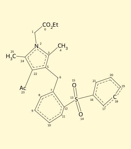 CCOC(=O)Cn1c(C)c(Cc2ccccc2S(=O)(=O)c2ccccc2)c(C(C)=O)c1C